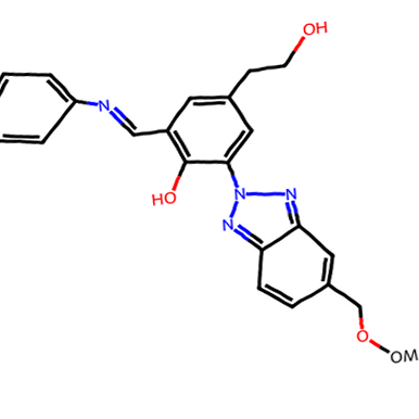 COOCc1ccc2nn(-c3cc(CCO)cc(C=Nc4ccccc4)c3O)nc2c1